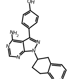 Nc1ncnc2c1c(-c1ccc(O)cc1)nn2C1CCc2ccccc2C1